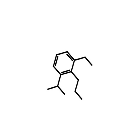 CCCc1c(C(C)C)[c]ccc1CC